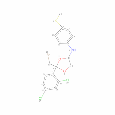 CSc1ccc(NC2COC(CBr)(c3ccc(Cl)cc3Cl)O2)cc1